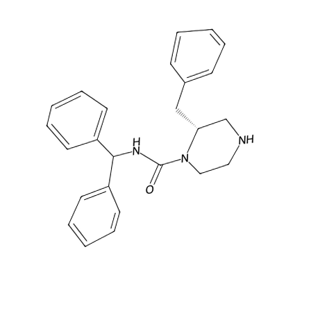 O=C(NC(c1ccccc1)c1ccccc1)N1CCNC[C@H]1Cc1ccccc1